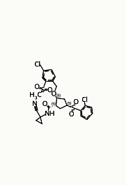 CS(=O)(=O)c1cc(Cl)ccc1CO[C@H]1C[C@@H](S(=O)(=O)c2ccccc2Cl)C[C@@H]1C(=O)NC1(C#N)CC1